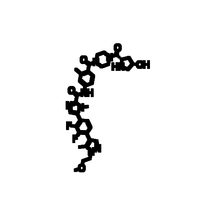 COCCn1ncc(-c2ccc(-c3cnc(C(=O)Nc4ccc(C(=O)N5CCN(C(=O)[C@@H]6C[C@@H](O)CN6)CC5)c(C)c4)n3C)c(F)c2F)c1C